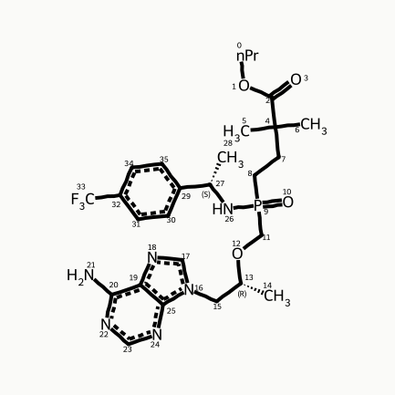 CCCOC(=O)C(C)(C)CCP(=O)(CO[C@H](C)Cn1cnc2c(N)ncnc21)N[C@@H](C)c1ccc(C(F)(F)F)cc1